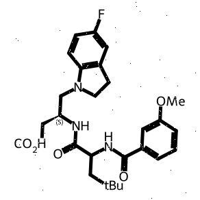 COc1cccc(C(=O)NC(CC(C)(C)C)C(=O)N[C@@H](CC(=O)O)CN2CCc3cc(F)ccc32)c1